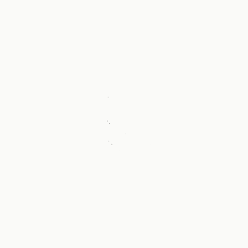 COc1ccnc(-[n+]2ccccc2C)c1.[I-]